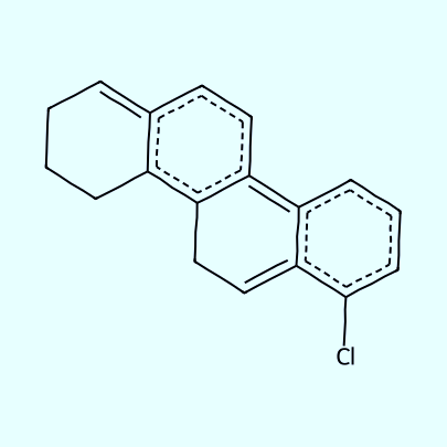 Clc1cccc2c1=CCc1c3c(ccc1=2)=CCCC3